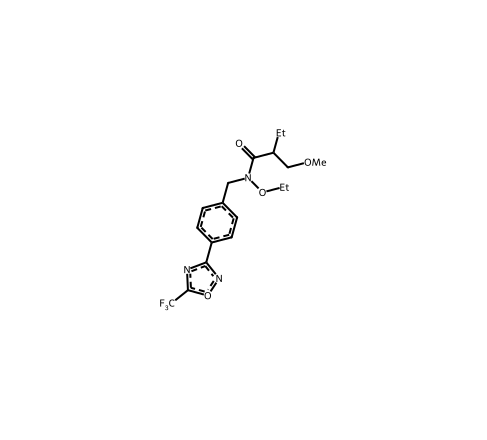 CCON(Cc1ccc(-c2noc(C(F)(F)F)n2)cc1)C(=O)C(CC)COC